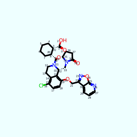 O=C(O)[C@H]1CCCC[C@H]1C(=O)N1CCc2c(Cl)ccc(OCc3noc4ncccc34)c2[C@H]1CN1CCCC1=O